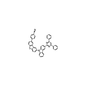 N#Cc1ccc(-c2ccc3sc4ccc(-n5c6ccccc6c6cc(-c7nc(-c8ccccc8)cc(-c8ccccc8)n7)ccc65)cc4c3c2)cc1